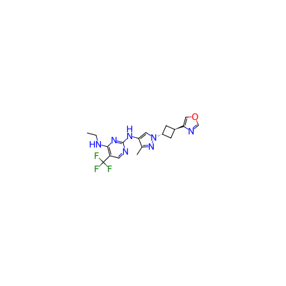 CCNc1nc(Nc2cn([C@H]3C[C@H](c4cocn4)C3)nc2C)ncc1C(F)(F)F